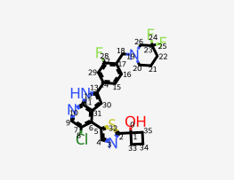 OC1(c2ncc(-c3c(Cl)cnc4[nH]c(-c5ccc(CN6CCCC(F)(F)C6)c(F)c5)cc34)s2)CCC1